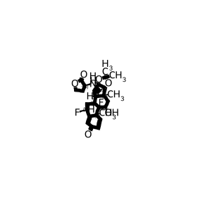 CC1(C)O[C@@H]2C[C@H]3[C@@H]4C[C@H](F)C5=CC(=O)C=C[C@]5(C)[C@@]4(F)[C@@H](O)C[C@]3(C)[C@]2(C(=O)N[C@H]2CCOC2=O)O1